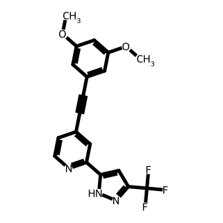 COc1cc(C#Cc2ccnc(-c3cc(C(F)(F)F)n[nH]3)c2)cc(OC)c1